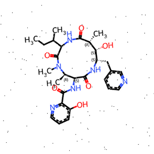 CCC(C)C1NC(=O)[C@H](C)[C@H](O)[C@H](Cc2cccnc2)NC(=O)[C@@H](NC(=O)c2ncccc2O)[C@@H](C)N(C)C1=O